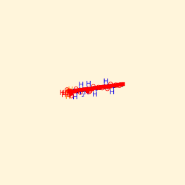 CCCOCCOCCNC(=O)CCC(=O)NCCOCCOCCNC(=O)CCC(=O)N[C@@H](CCCCNC(=O)CCC(=O)NCCCC(O)(O[PH](=O)O)O[PH](=O)O)C(N)=O